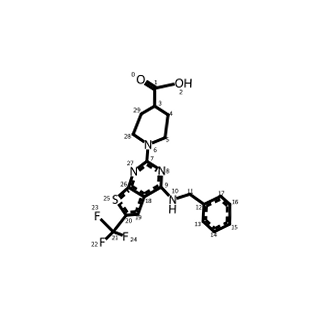 O=C(O)C1CCN(c2nc(NCc3ccccc3)c3cc(C(F)(F)F)sc3n2)CC1